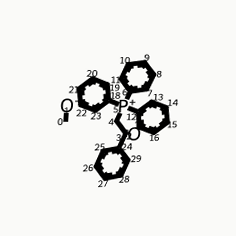 C[O-].O=C(C[P+](c1ccccc1)(c1ccccc1)c1ccccc1)c1ccccc1